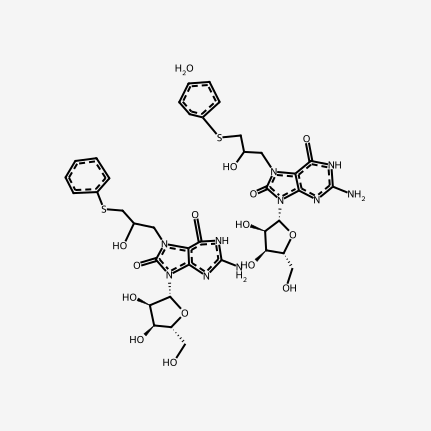 Nc1nc2c(c(=O)[nH]1)n(CC(O)CSc1ccccc1)c(=O)n2[C@@H]1O[C@H](CO)[C@@H](O)[C@H]1O.Nc1nc2c(c(=O)[nH]1)n(CC(O)CSc1ccccc1)c(=O)n2[C@@H]1O[C@H](CO)[C@@H](O)[C@H]1O.O